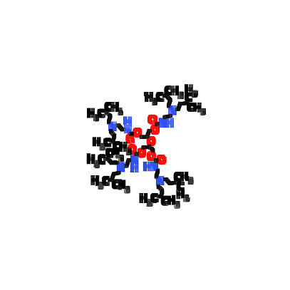 CC(C)CCN(CCNC(=O)OCC(COC(=O)NCCN(CCC(C)C)CCC(C)C)OC(COC(=O)NCCN(CCC(C)C)CCC(C)C)COC(=O)NCCN(CCC(C)C)CCC(C)C)CCC(C)C